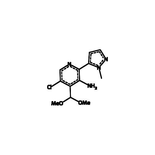 COC(OC)c1c(Cl)cnc(-c2ccnn2C)c1N